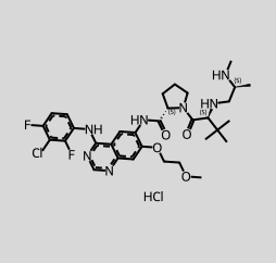 CN[C@@H](C)CN[C@H](C(=O)N1CCC[C@H]1C(=O)Nc1cc2c(Nc3ccc(F)c(Cl)c3F)ncnc2cc1OCCOC)C(C)(C)C.Cl